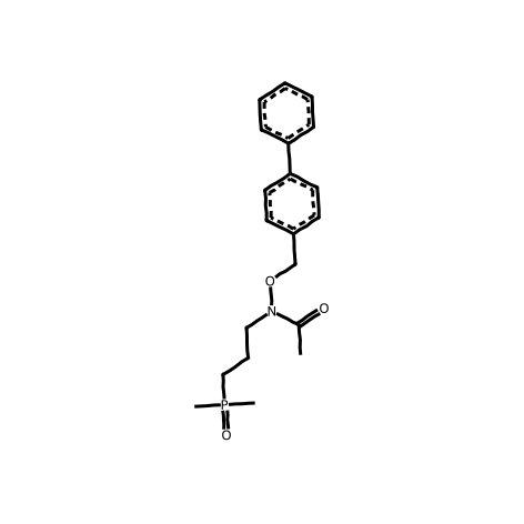 CC(=O)N(CCCP(C)(C)=O)OCc1ccc(-c2ccccc2)cc1